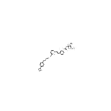 CCC(CC)(CC(=O)Nc1cccc(C=Cc2cccc(COCCCCc3ccc(C4CCC4)cc3)n2)c1)C(=O)O